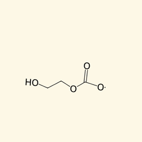 [O]C(=O)OCCO